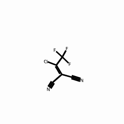 N#CC(C#N)=C(Cl)C(F)(F)F